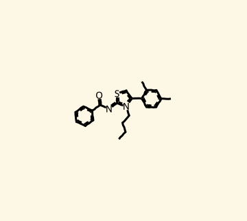 CCCCn1c(-c2ccc(C)cc2C)csc1=NC(=O)c1ccccc1